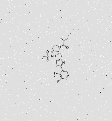 CC(C)C(=O)N1CC[C@@H](NS(C)(=O)=O)[C@H]1Cc1csc(-c2cccc(F)c2F)n1